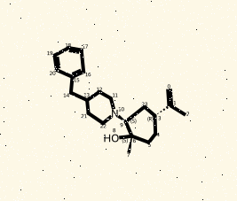 C=C(C)[C@@H]1CC[C@](C)(O)[C@@H](N2CCC(Cc3ccccc3)CC2)C1